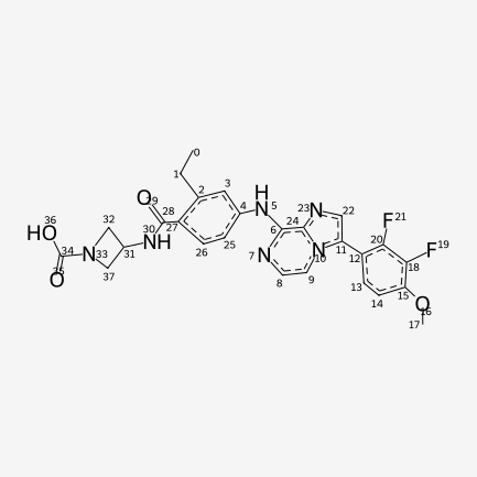 CCc1cc(Nc2nccn3c(-c4ccc(OC)c(F)c4F)cnc23)ccc1C(=O)NC1CN(C(=O)O)C1